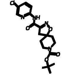 CC(C)(C)OC(=O)N1CCC2(CC1)CC(C(=O)Nc1ccc(Cl)cn1)=NO2